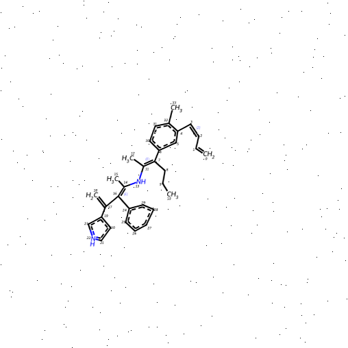 C=C/C=C\c1cc(/C(CCC)=C(\C)N/C(C)=C(/C(=C)c2cc[nH]c2)c2ccccc2)ccc1C